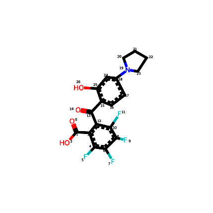 O=C(O)c1c(F)c(F)c(F)c(F)c1C(=O)c1ccc(N2CCCC2)cc1O